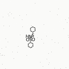 O=S(=O)(NSc1ccccc1)c1ccccc1